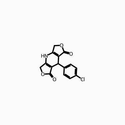 O=C1OCC2=C1C(c1ccc(Cl)cc1)C1=C(COC1=O)N2